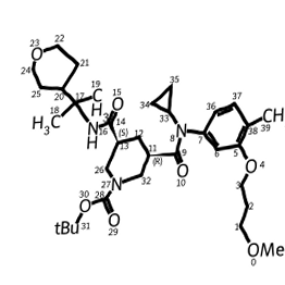 COCCCOc1cc(N(C(=O)[C@@H]2C[C@H](C(=O)NC(C)(C)C3CCOCC3)CN(C(=O)OC(C)(C)C)C2)C2CC2)ccc1C